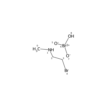 CNCCBr.[O-][Br+2]([O-])O